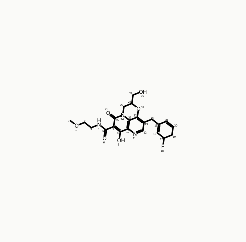 COCCNC(=O)c1c(O)c2ncc(CC3=CC(F)CC=C3)c3c2n(c1=O)CC(CO)O3